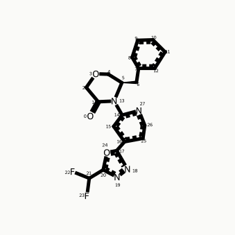 O=C1COC[C@@H](Cc2ccccc2)N1c1cc(-c2nnc(C(F)F)o2)ccn1